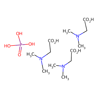 CN(C)CC(=O)O.CN(C)CC(=O)O.CN(C)CC(=O)O.O=P(O)(O)O